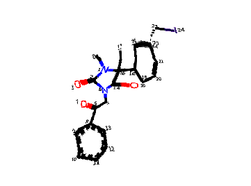 CN1C(=O)N(CC(=O)c2ccccc2)C(=O)C1(C)C1CC=C[C@@H](CI)C1